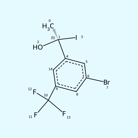 C[C@](O)(I)c1cc(Br)cc(C(F)(F)F)c1